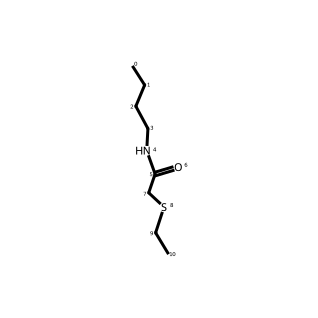 CCCCNC(=O)CSCC